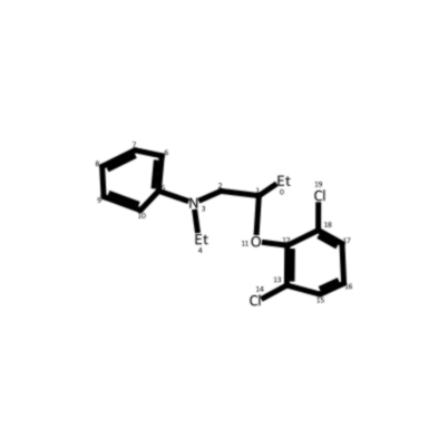 CCC(CN(CC)c1ccccc1)Oc1c(Cl)cccc1Cl